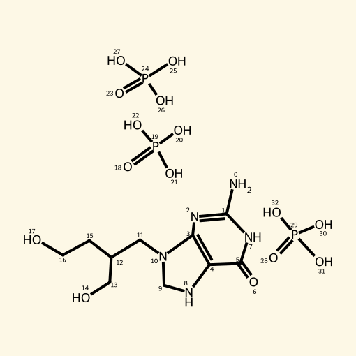 Nc1nc2c(c(=O)[nH]1)NCN2CC(CO)CCO.O=P(O)(O)O.O=P(O)(O)O.O=P(O)(O)O